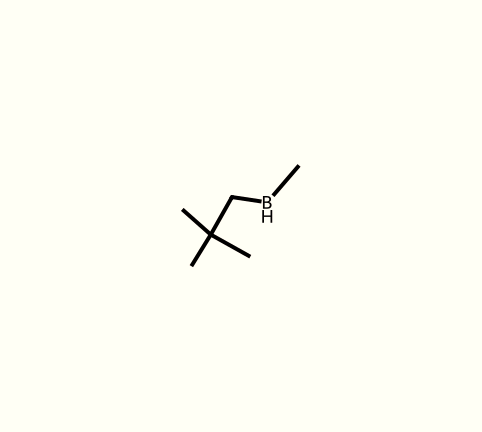 CBCC(C)(C)C